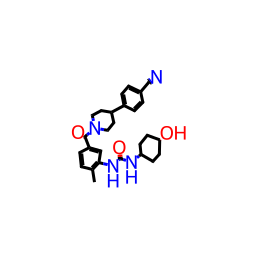 Cc1ccc(C(=O)N2CCC(c3ccc(C#N)cc3)CC2)cc1NC(=O)NC1CCC(O)CC1